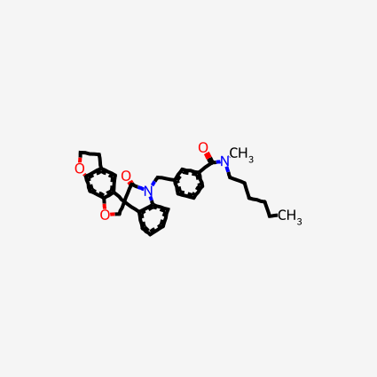 CCCCCCN(C)C(=O)c1cccc(CN2C(=O)C3(COc4cc5c(cc43)CCO5)c3ccccc32)c1